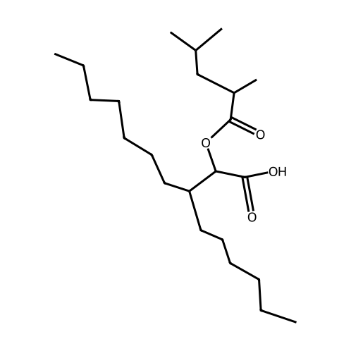 CCCCCCCC(CCCCCC)C(OC(=O)C(C)CC(C)C)C(=O)O